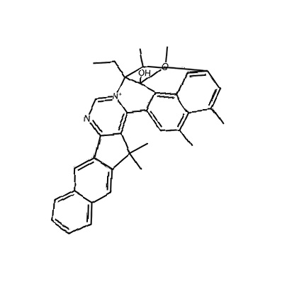 CCC12C(C)c3cc(C)c4c(C)cc(c(c4c3)C1(O)OC)-c1c3c(nc[n+]12)-c1cc2ccccc2cc1C3(C)C